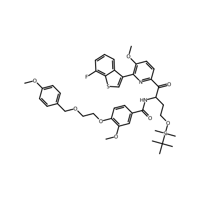 COc1ccc(COCCOc2ccc(C(=O)NC(CCO[Si](C)(C)C(C)(C)C)C(=O)c3ccc(OC)c(-c4csc5c(F)cccc45)n3)cc2OC)cc1